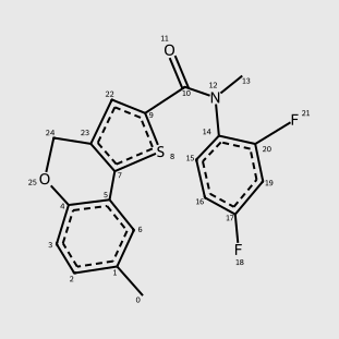 Cc1ccc2c(c1)-c1sc(C(=O)N(C)c3ccc(F)cc3F)cc1CO2